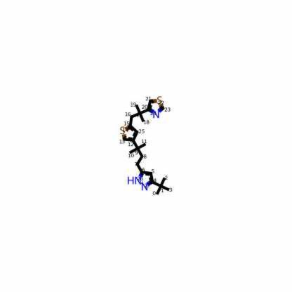 CC(C)(C)c1cc(CCC(C)(C)c2csc(CC(C)(C)c3cscn3)c2)[nH]n1